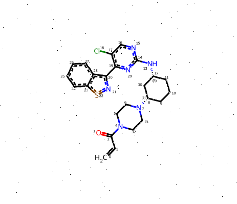 C=CC(=O)N1CCN([C@H]2CCC[C@@H](Nc3ncc(Cl)c(-c4nsc5ccccc45)n3)C2)CC1